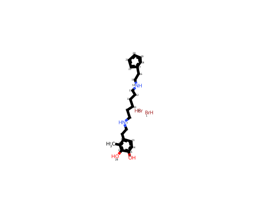 Br.Br.Cc1c(CCNCCCCCCNCCc2ccccc2)ccc(O)c1O